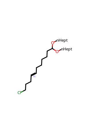 CCCCCCCOC(CCCCC/C=C/CCCCl)OCCCCCCC